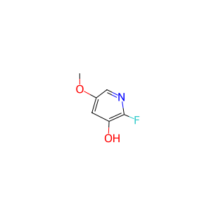 COc1cnc(F)c(O)c1